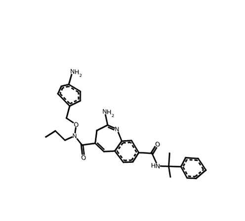 CCCN(OCc1ccc(N)cc1)C(=O)C1=Cc2ccc(C(=O)NC(C)(C)c3ccccc3)cc2N=C(N)C1